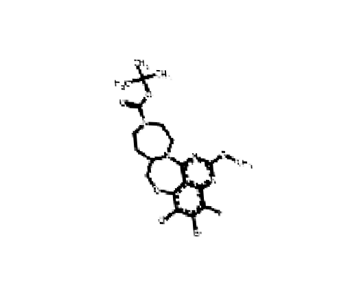 CSc1nc2c3c(c(Cl)c(Br)c(F)c3n1)OCC1CCN(C(=O)OC(C)(C)C)CCN21